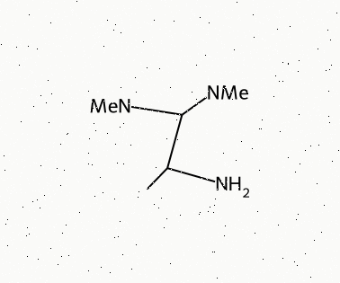 CNC(NC)C(C)N